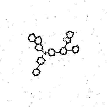 c1ccc(-c2ccc(N(c3ccc(-c4ccc(-c5ccccc5)c(-c5cc6ccccc6o5)c4)cc3)c3ccc4c(ccc5ccccc54)c3)cc2)cc1